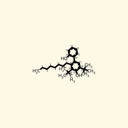 CCCCCCCCc1c(-c2ccccc2O)cc(C(C)(C)C)c(O)c1C(C)(C)C